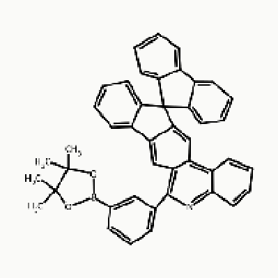 CC1(C)OB(c2cccc(-c3nc4ccccc4c4cc5c(cc34)-c3ccccc3C53c4ccccc4-c4ccccc43)c2)OC1(C)C